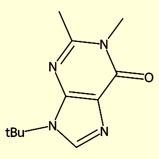 Cc1nc2c(ncn2C(C)(C)C)c(=O)n1C